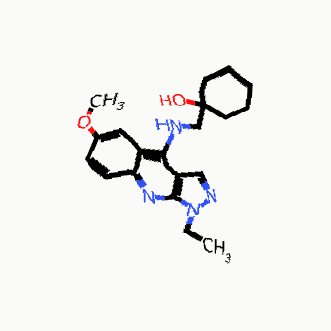 CCn1ncc2c(NCC3(O)CCCCC3)c3cc(OC)ccc3nc21